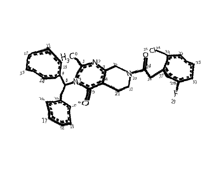 Cc1nc2c(c(=O)n1C(c1ccccc1)c1ccccc1)CCN(C(=O)Cc1c(F)cccc1Cl)C2